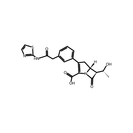 C[C@@H](O)[C@H]1C(=O)N2C(C(=O)O)=C(c3cccc(CC(=O)Nc4nccs4)c3)C[C@H]12